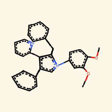 COc1ccc(-n2cc(-c3ccccc3)c(-c3ccccn3)c2Cc2ccccc2)cc1OC